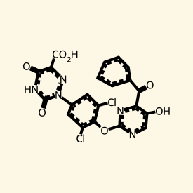 O=C(c1ccccc1)c1nc(Oc2c(Cl)cc(-n3nc(C(=O)O)c(=O)[nH]c3=O)cc2Cl)ncc1O